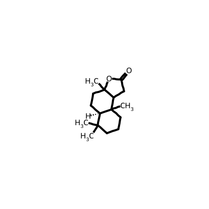 CC12CC[C@@H]3C(C)(C)CCCC3(C)C1CC(=O)O2